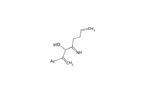 C=CCCC(=N)C(O)C(=C)C(C)=O